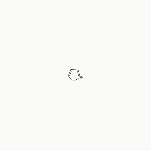 C1=C[CH2][Sb]=[CH]1